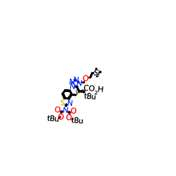 CC(C)(C)OC(=O)N(C(=O)OC(C)(C)C)c1nc2c(C[C@H](c3nnnn3COCC[Si](C)(C)C)[C@@H](C(=O)O)C(C)(C)C)cccc2s1